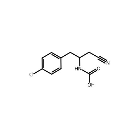 N#CCC(Cc1ccc(Cl)cc1)NC(=O)O